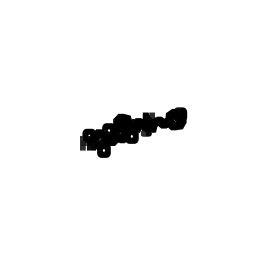 O=C1CCC(CC2=CC(=O)c3c(OCc4nc(C/C=C5/CCCOCC5)cs4)cccc3C2=O)C(=O)N1